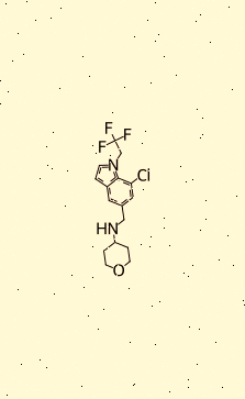 FC(F)(F)Cn1ccc2cc(CNC3CCOCC3)cc(Cl)c21